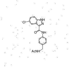 CC(=O)NCc1ccc(NC(=O)c2n[nH]c3ccc(Cl)cc23)cc1